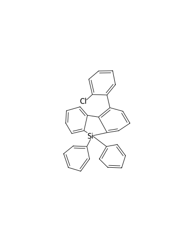 Clc1ccccc1-c1cccc2c1-c1ccccc1[Si]2(c1ccccc1)c1ccccc1